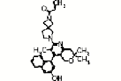 C=CC(=O)N1CC2(CCN(c3nc4c(c(-c5cc(O)cc6ccccc56)c3C)COC(C)(C)C4)C2)C1